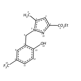 CCOC(=O)c1cc(C)n(Cc2cc(C(F)(F)F)ccc2O)n1